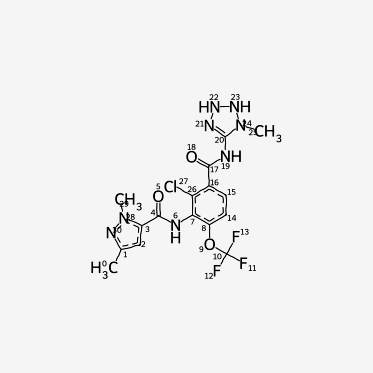 Cc1cc(C(=O)Nc2c(OC(F)(F)F)ccc(C(=O)NC3=NNNN3C)c2Cl)n(C)n1